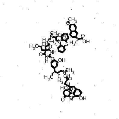 C=CCC1(CC(C)C)C(=O)NC(=O)NC1=O.CC(CN1c2ccccc2Sc2ccccc21)N(C)C.CC[C@@H](c1cccc(O)c1)[C@@H](C)CN(C)C.COc1ccc2cc([C@H](C)C(=O)O)ccc2c1.O=C1CC[C@@]2(O)[C@H]3Cc4ccc(O)c5c4[C@@]2(CCN3CC2CC2)[C@H]1O5